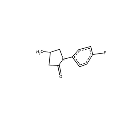 CC1CC(=O)N(c2ccc(F)cc2)C1